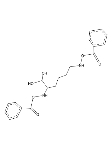 O=C(ONCCCCC(NOC(=O)c1ccccc1)C(O)O)c1ccccc1